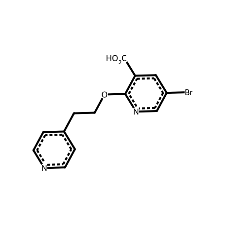 O=C(O)c1cc(Br)cnc1OCCc1ccncc1